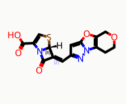 O=C(O)C1=CS[C@@H]2/C(=C\c3cc4oc5c(n4n3)CCOC5)C(=O)N12